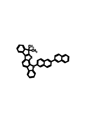 CC1(C)c2ccccc2-c2c1sc1c2ccc2c3ccccc3n(-c3ccc4cc(-c5ccc6ccccc6c5)ccc4c3)c21